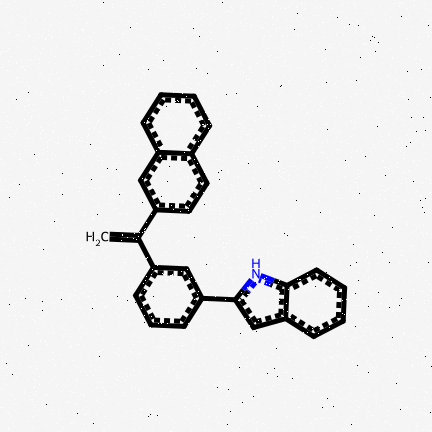 C=C(c1cccc(-c2cc3ccccc3[nH]2)c1)c1ccc2ccccc2c1